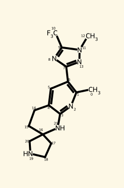 Cc1nc2c(cc1-c1nc(C(F)(F)F)n(C)n1)CCC1(CCNC1)N2